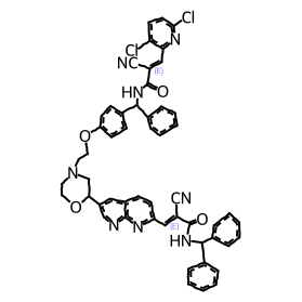 N#C/C(=C\c1ccc2cc(C3CN(CCOc4ccc(C(NC(=O)/C(C#N)=C/c5nc(Cl)ccc5Cl)c5ccccc5)cc4)CCO3)cnc2n1)C(=O)NC(c1ccccc1)c1ccccc1